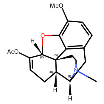 COc1ccc2c3c1O[C@H]1C(OC(C)=O)=CC[C@H]4[C@@H](C2)N(C)CC[C@]314